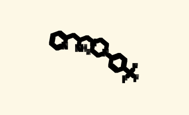 NC(Cc1ccccn1)CN1CCN(c2ccc(C(F)(F)F)cc2)CC1